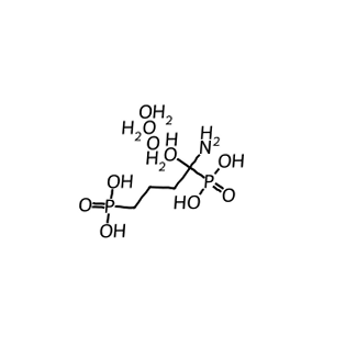 NC(O)(CCCP(=O)(O)O)P(=O)(O)O.O.O.O